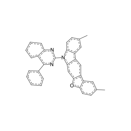 Cc1ccc2oc3cc4c(cc3c2c1)c1cc(C)ccc1n4-c1nc(-c2ccccc2)c2ccccc2n1